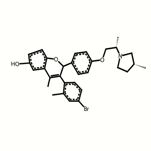 CC1=C(c2ccc(Br)cc2C)C(c2ccc(OC[C@H](C)N3CC[C@@H](C)C3)cc2)Oc2ccc(O)cc21